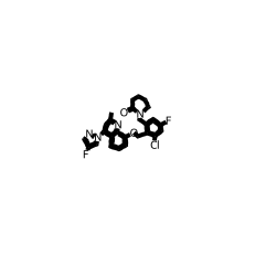 Cc1cc(-n2cc(F)cn2)c2cccc(OCc3c(Cl)cc(F)cc3CN3CCCCC3=O)c2n1